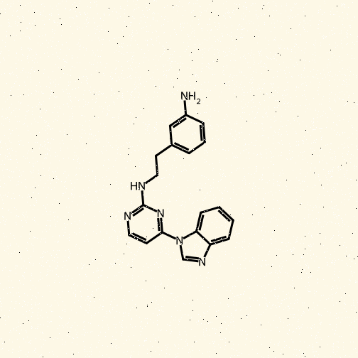 Nc1cccc(CCNc2nccc(-n3cnc4ccccc43)n2)c1